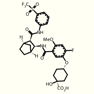 COc1cc(F)c(O[C@H]2CC[C@@](O)(C(=O)O)CC2)cc1C(=O)N[C@H]1[C@H]2CC[C@H](C2)[C@H]1C(=O)Nc1cccc(S(=O)(=O)C(F)(F)F)c1